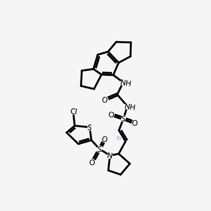 O=C(Nc1c2c(cc3c1CCC3)CCC2)NS(=O)(=O)/C=C/C1CCCN1S(=O)(=O)c1ccc(Cl)s1